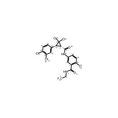 O=C(NCC(F)(F)F)c1cc(NC(=O)[C@@H]2[C@@H](c3ccc(Cl)c(C(F)(F)F)c3)C2(Cl)Cl)ccc1Cl